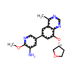 COc1ncc(-c2cc(O[C@@H]3CCOC3)c3ncnc(C)c3c2)cc1N